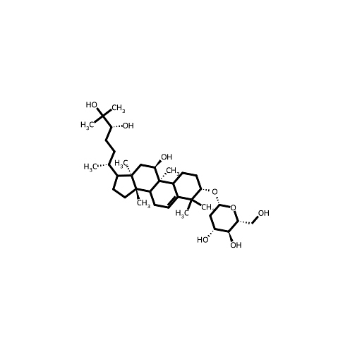 C[C@H](CC[C@@H](O)C(C)(C)O)C1CC[C@@]2(C)C3CC=C4C(CC[C@H](O[C@H]5C[C@@H](O)[C@H](O)[C@@H](CO)O5)C4(C)C)[C@]3(C)[C@H](O)C[C@]12C